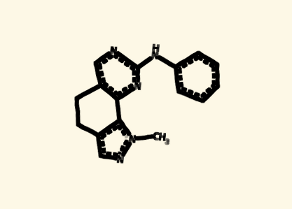 Cn1ncc2c1-c1nc(Nc3ccccc3)ncc1CC2